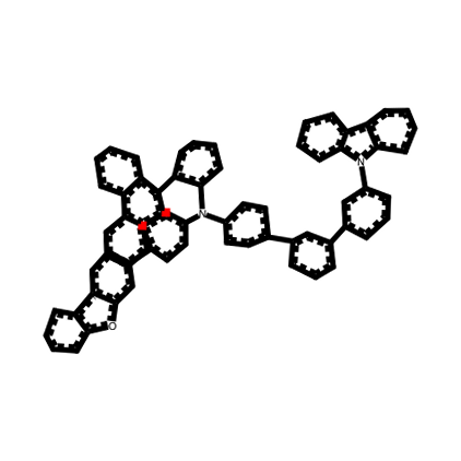 c1cc(-c2ccc(N(c3ccc(-c4ccc5c(c4)oc4ccccc45)cc3)c3ccccc3-c3cc4ccccc4c4ccccc34)cc2)cc(-c2cccc(-n3c4ccccc4c4ccccc43)c2)c1